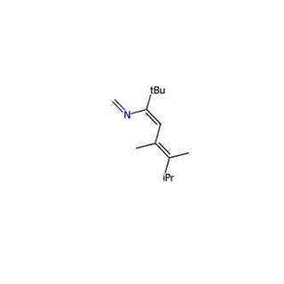 C=N/C(=C\C(C)=C(/C)C(C)C)C(C)(C)C